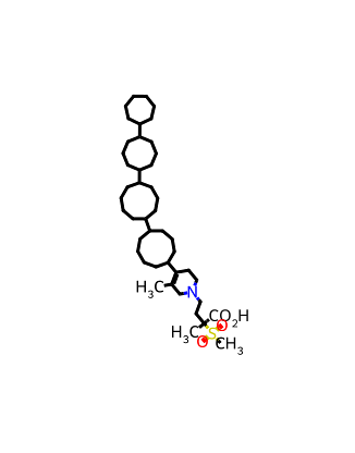 CC1=C(C2CCCCC(C3CCCCC(C4CCCC(C5CCCCCC5)CCC4)CCC3)CCC2)CCN(CCC(C)(C(=O)O)S(C)(=O)=O)C1